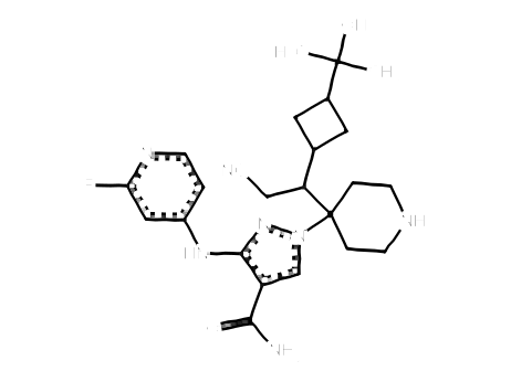 CC(C)(O)C1CC(C(CC#N)C2(n3cc(C(N)=O)c(Nc4ccnc(F)c4)n3)CCNCC2)C1